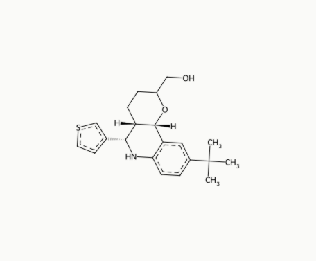 CC(C)(C)c1ccc2c(c1)[C@H]1OC(CO)CC[C@H]1[C@@H](c1ccsc1)N2